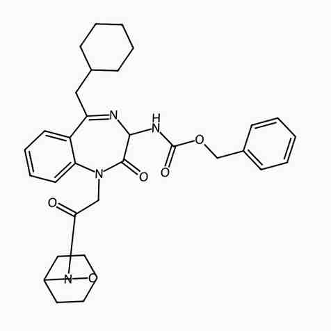 O=C(NC1N=C(CC2CCCCC2)c2ccccc2N(CC(=O)N2CC3CCC(CC3)C2)C1=O)OCc1ccccc1